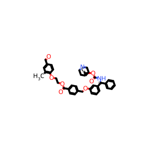 Cc1cc(C=O)ccc1OCCOC(=O)c1ccc(COc2cccc([C@@H](NC(=O)OC3CN4CCC3CC4)c3ccccc3)c2)cc1